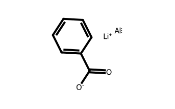 O=C([O-])c1ccccc1.[Al].[Li+]